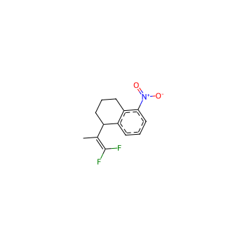 CC(=C(F)F)C1CCCc2c1cccc2[N+](=O)[O-]